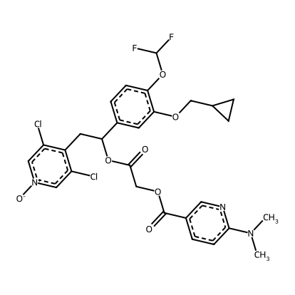 CN(C)c1ccc(C(=O)OCC(=O)OC(Cc2c(Cl)c[n+]([O-])cc2Cl)c2ccc(OC(F)F)c(OCC3CC3)c2)cn1